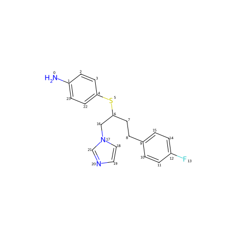 Nc1ccc(SC(CCc2ccc(F)cc2)Cn2ccnc2)cc1